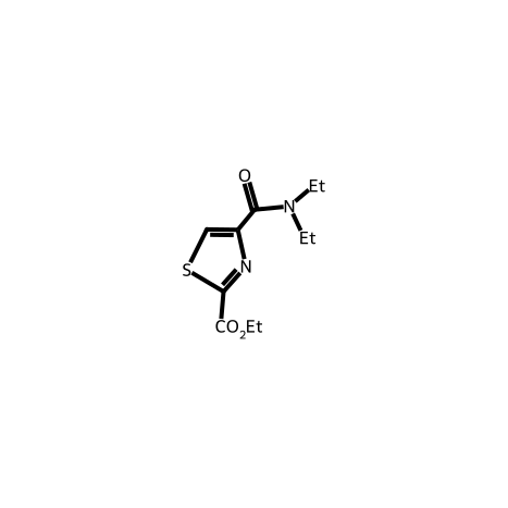 CCOC(=O)c1nc(C(=O)N(CC)CC)cs1